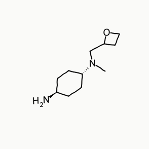 CN(CC1CCO1)[C@H]1CC[C@H](N)CC1